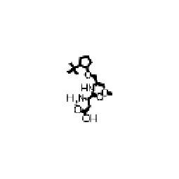 COCC(COC1CCCC1C(C)(C)C)NC(=O)[C@@H](N)CC(=O)O